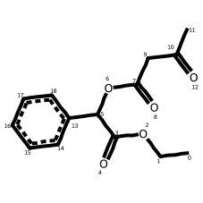 CCOC(=O)C(OC(=O)CC(C)=O)c1ccccc1